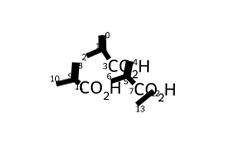 C=C(C)C(=O)O.C=C(C)C(=O)O.C=C(C)C(=O)O.CC